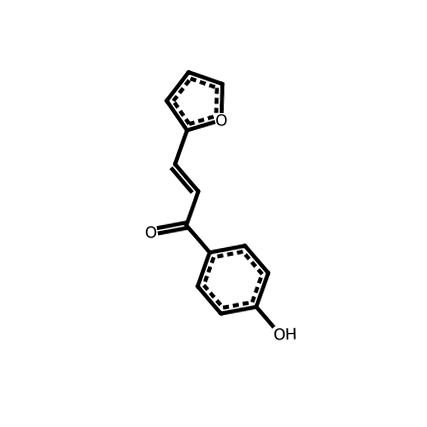 O=C(C=Cc1ccco1)c1ccc(O)cc1